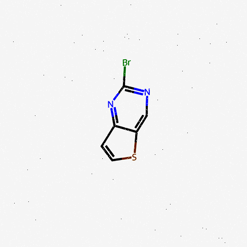 Brc1ncc2sccc2n1